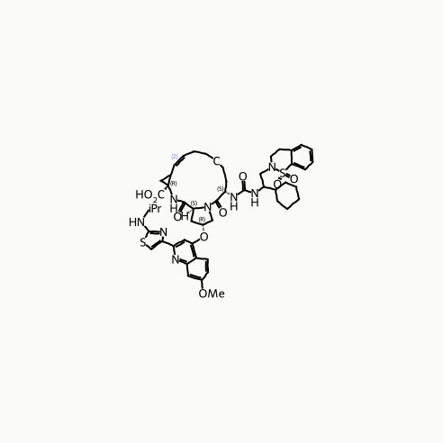 COc1ccc2c(O[C@@H]3C[C@H]4C(=O)N[C@]5(C(=O)O)CC5/C=C\CCCCC[C@H](NC(=O)NC(CN5CCc6ccccc6S5(=O)=O)C5CCCCC5)C(=O)N4C3)cc(-c3csc(NC(C)C)n3)nc2c1